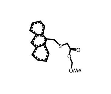 COCOC(=O)CSCc1c2ccccc2cc2ccccc12